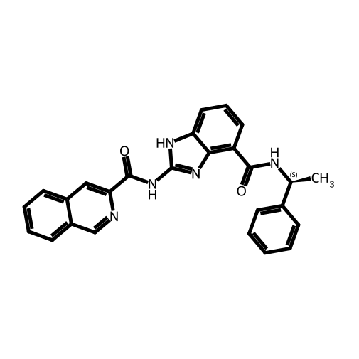 C[C@H](NC(=O)c1cccc2[nH]c(NC(=O)c3cc4ccccc4cn3)nc12)c1ccccc1